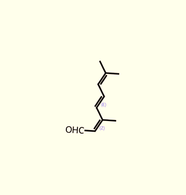 CC(C)=C/C=C/C(C)=C\C=O